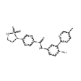 Cc1ccc(-c2cc(NC(=O)c3ccc(N4CCNS4(=O)=O)cc3)ccc2Cl)nc1